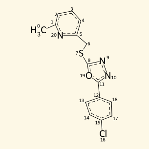 Cc1cccc(CSc2nnc(-c3ccc(Cl)cc3)o2)n1